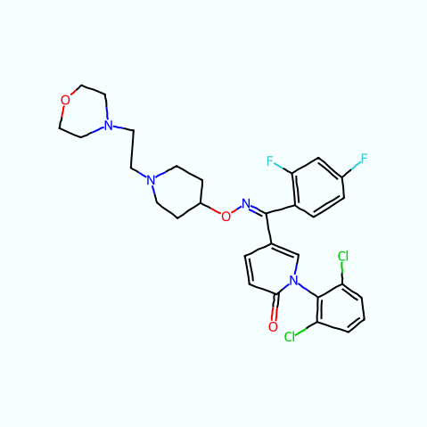 O=c1ccc(/C(=N\OC2CCN(CCN3CCOCC3)CC2)c2ccc(F)cc2F)cn1-c1c(Cl)cccc1Cl